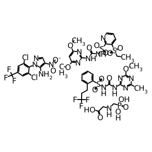 CCS(=O)(=O)c1cccnc1S(=O)(=O)NC(=O)Nc1nc(OC)cc(OC)n1.COc1nc(C)nc(NC(=O)NS(=O)(=O)c2ccccc2CCC(F)(F)F)n1.Nc1c([N+](=O)[O-])cnn1-c1c(Cl)cc(C(F)(F)F)cc1Cl.O=C(O)CNCP(=O)(O)O